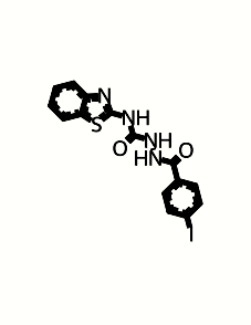 O=C(NNC(=O)c1ccc(I)cc1)Nc1nc2ccccc2s1